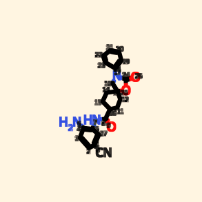 N#Cc1ccc(N)c(NC(=O)C2CCC3(CC2)CN(c2ccccc2)C(=O)O3)c1